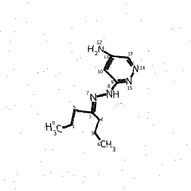 CCCC(CCC)=NNc1cc(N)cnn1